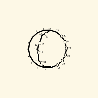 C1=C2CCCCCCCCC(CCCCCCCC2)COOOOOO1